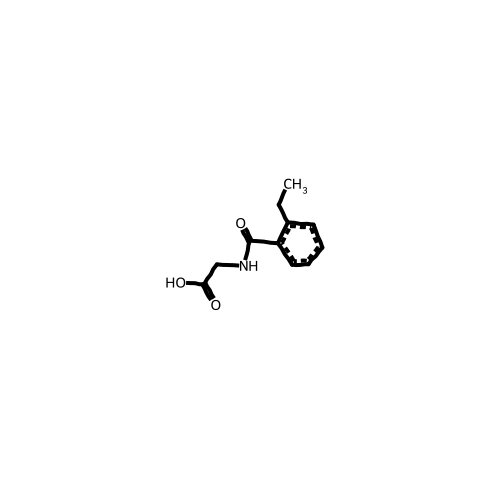 CCc1ccccc1C(=O)NCC(=O)O